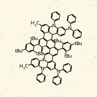 Cc1ccc2c(c1)N(c1ccccc1)c1cc(N(c3ccccc3)c3ccccc3)cc3c1B2c1cc2c(-c4c(C(C)(C)C)cc(C(C)(C)C)cc4C(C)(C)C)cc4c5c(cc6c(-c7c(C(C)(C)C)cc(C(C)(C)C)cc7C(C)(C)C)cc-3c1c6c25)C1c2ccc(N(c3ccccc3)c3ccccc3)cc2N(c2ccccc2)c2cc(C)cc-4c21